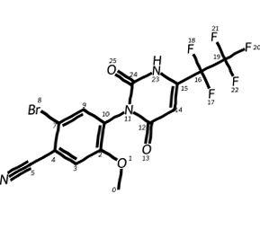 COc1cc(C#N)c(Br)cc1-n1c(=O)cc(C(F)(F)C(F)(F)F)[nH]c1=O